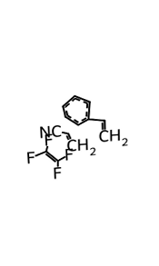 C=CC#N.C=Cc1ccccc1.FC(F)=C(F)F